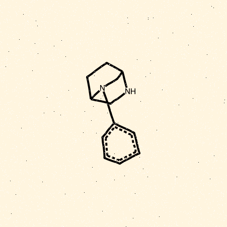 c1ccc(N2CC3CCC2CN3)cc1